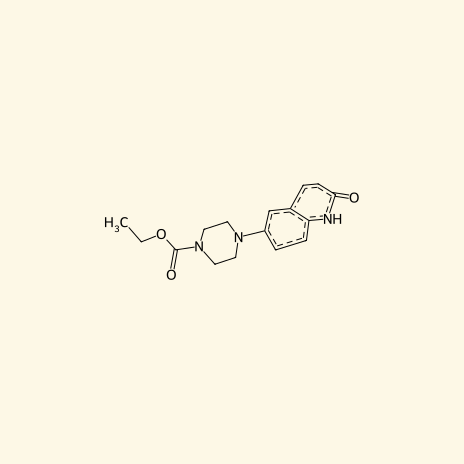 CCOC(=O)N1CCN(c2ccc3[nH]c(=O)ccc3c2)CC1